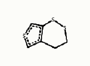 c1scc2c1CCSS2